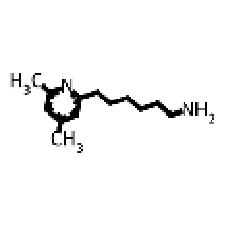 Cc1cc(C)nc(CCCCCCN)c1